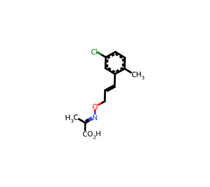 CC(=NOCC=Cc1cc(Cl)ccc1C)C(=O)O